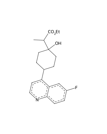 CCOC(=O)C(C)C1(O)CCC(c2ccnc3ccc(F)cc23)CC1